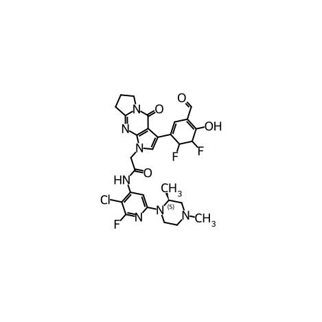 C[C@H]1CN(C)CCN1c1cc(NC(=O)Cn2cc(C3=CC(C=O)=C(O)C(F)C3F)c3c(=O)n4c(nc32)CCC4)c(Cl)c(F)n1